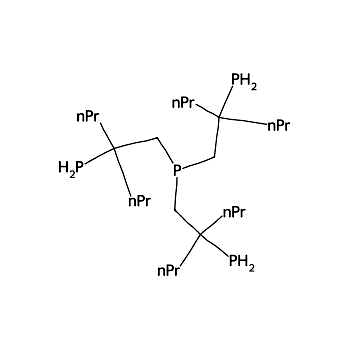 CCCC(P)(CCC)CP(CC(P)(CCC)CCC)CC(P)(CCC)CCC